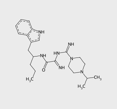 CCCC(Cc1c[nH]c2ccccc12)NC(=O)C(=N)NC(=N)N1CCN(C(C)C)CC1